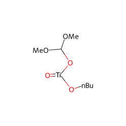 CCCC[O][Ti](=[O])[O]C(OC)OC